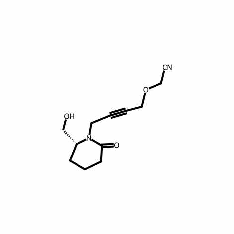 N#CCOCC#CCN1C(=O)CCC[C@@H]1CO